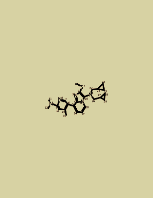 CSc1nc2c(-c3cnc(N(C)C)cc3C)cccn2c1N(CC1CC1)CC1CC1